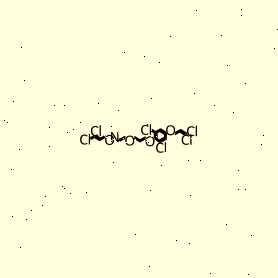 ClC(Cl)=CCON=CCOCCCOc1c(Cl)cc(OCC=C(Cl)Cl)cc1Cl